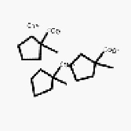 CC1(C(=O)[O-])CCCC1.CC1(C(=O)[O-])CCCC1.CC1(C(=O)[O-])CCCC1.[Ga+3]